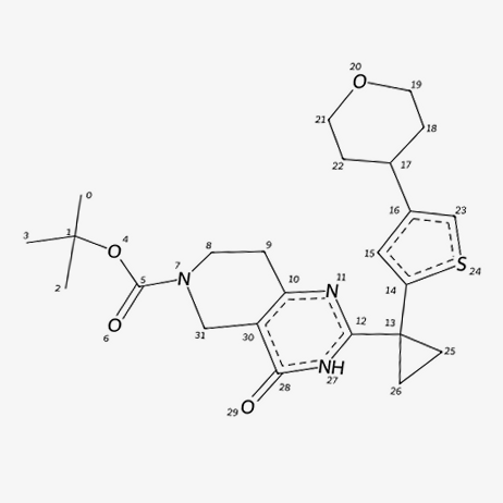 CC(C)(C)OC(=O)N1CCc2nc(C3(c4cc(C5CCOCC5)cs4)CC3)[nH]c(=O)c2C1